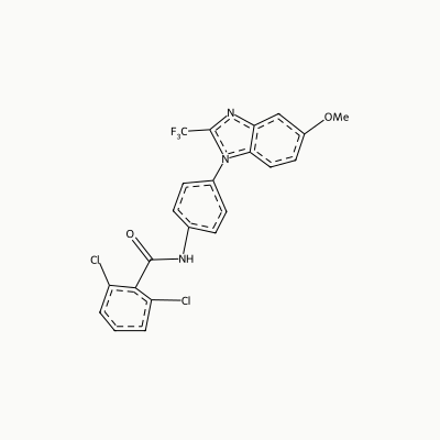 COc1ccc2c(c1)nc(C(F)(F)F)n2-c1ccc(NC(=O)c2c(Cl)cccc2Cl)cc1